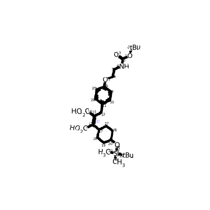 CC(C)(C)OC(=O)NCCOc1ccc(C/C(C(=O)O)=C(/C(=O)O)C2CCC(O[Si](C)(C)C(C)(C)C)CC2)cc1